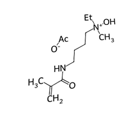 C=C(C)C(=O)NCCCC[N+](C)(O)CC.CC(=O)[O-]